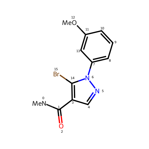 CNC(=O)c1cnn(-c2cccc(OC)c2)c1Br